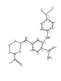 CC(=O)N1CCC[C@@H](Nc2nnc(C(N)=O)c(Nc3ccc(C(C)C)cc3)n2)C1